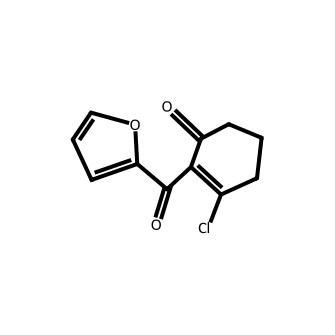 O=C1CCCC(Cl)=C1C(=O)c1ccco1